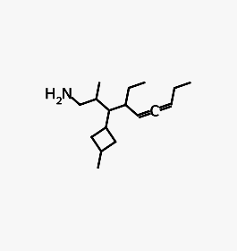 CCC=C=CC(CC)C(C(C)CN)C1CC(C)C1